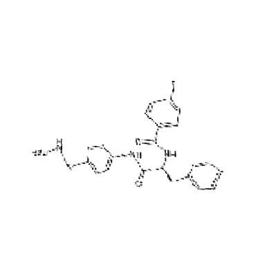 CC(C)(C)NSc1ccc(NC(=O)[C@H](Cc2ccccc2)NC(=O)c2ccc(F)cc2)cc1